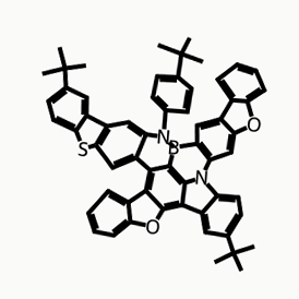 CC(C)(C)c1ccc(N2B3c4cc5c(cc4-n4c6ccc(C(C)(C)C)cc6c6c7oc8ccccc8c7c(c3c64)-c3cc4sc6ccc(C(C)(C)C)cc6c4cc32)oc2ccccc25)cc1